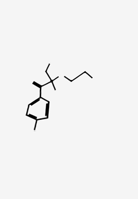 CCCOC(C)(CO)C(=O)c1ccc(Cl)cc1